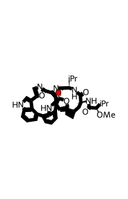 CO[C@H](C(=O)N[C@H]1Cc2ccc3c(c2)C24c5cccc(c5N[C@H]2O3)-c2cccc3[nH]cc(c23)-c2cnc(o2)-c2nc(oc24)[C@H](C(C)C)NC1=O)C(C)C